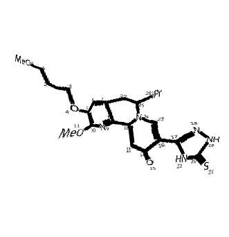 COCCCOc1cc2c(nc1OC)-c1cc(=O)c(-c3n[nH]c(=S)[nH]3)cn1C(C(C)C)C2